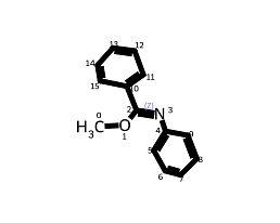 CO/C(=N\c1ccccc1)c1ccccc1